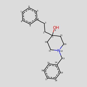 OC1(CCc2ccccc2)CCN(Cc2ccccc2)CC1